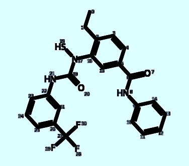 CCc1ccc(C(=O)Nc2ccccc2)cc1N(S)C(=O)Nc1cccc(C(F)(F)F)c1